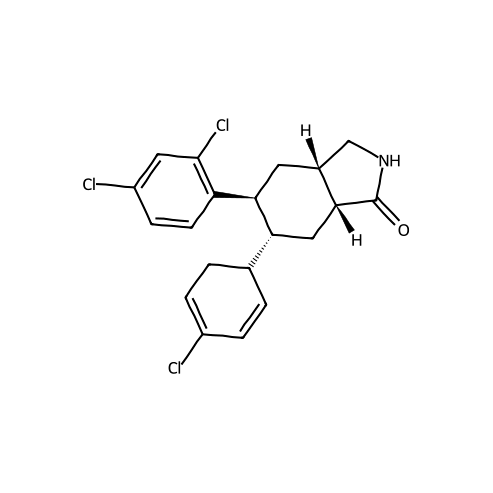 O=C1NC[C@H]2C[C@H](c3ccc(Cl)cc3Cl)[C@@H](C3C=CC(Cl)=CC3)C[C@@H]12